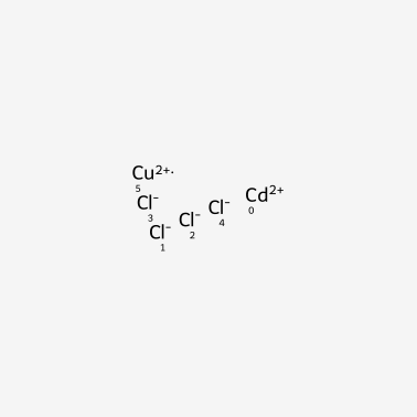 [Cd+2].[Cl-].[Cl-].[Cl-].[Cl-].[Cu+2]